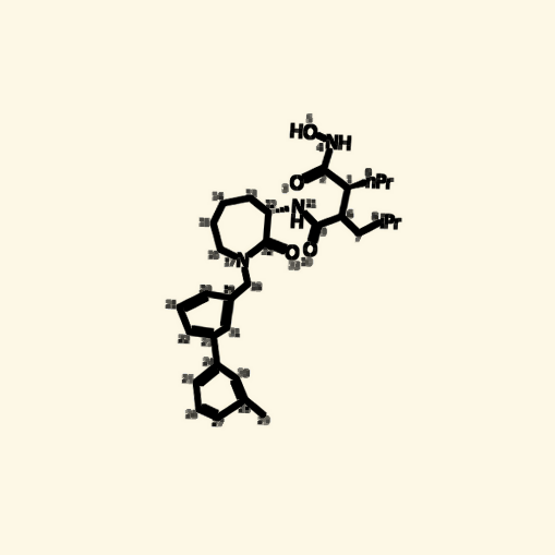 CCC[C@H](C(=O)NO)C(CC(C)C)C(=O)N[C@H]1CCCCN(Cc2cccc(-c3cccc(C)c3)c2)C1=O